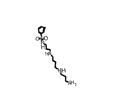 NCCCNCCCCNCCCNS(=O)(=O)c1ccccc1